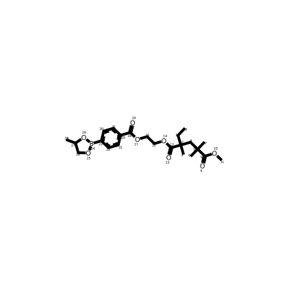 CCC(C)(CC(C)(C)C(=O)OC)C(=O)OCCOC(=O)c1ccc(B2OCC(C)O2)cc1